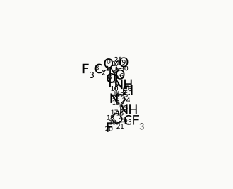 O=C(CC(F)(F)F)N[C@]1(OC(=O)NCc2ncc(Nc3ccc(F)cc3C(F)(F)F)cc2Cl)CCOC1